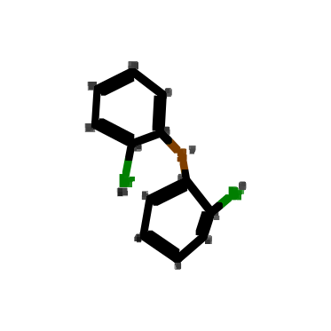 Brc1ccccc1Sc1ccccc1Br